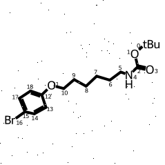 CC(C)(C)OC(=O)NCCCCCCOc1ccc(Br)cc1